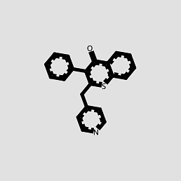 O=c1c(-c2ccccc2)c(Cc2ccncc2)sc2ccccc12